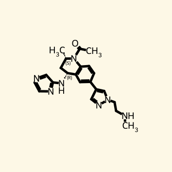 CNCCn1cc(-c2ccc3c(c2)[C@H](Nc2cnccn2)C[C@H](C)N3C(C)=O)cn1